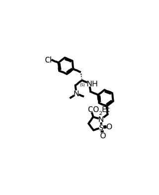 CCOC(=O)C1CCS(=O)(=O)N1Cc1cccc(CN[C@@H](Cc2ccc(Cl)cc2)CN(C)C)c1